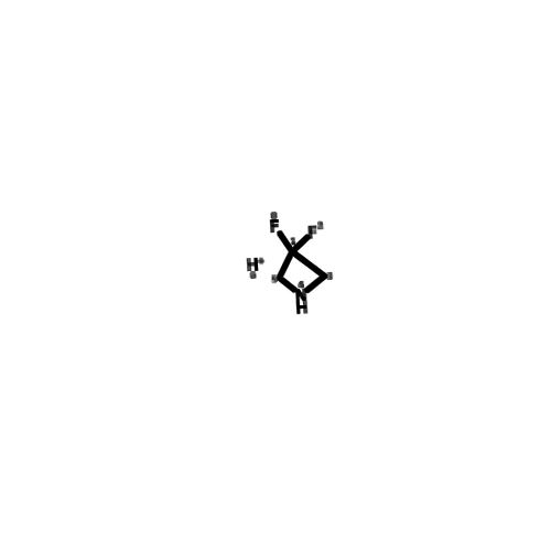 FC1(F)CNC1.[H+]